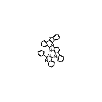 c1ccc(-c2nc(-n3c4ccccc4c4ccc5c(nc6c7ccccc7c7sc8ccccc8c7n56)c43)c3ccccc3n2)cc1